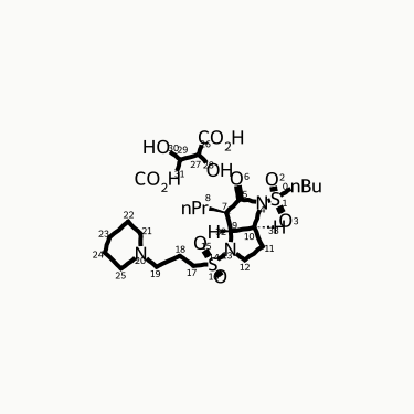 CCCCS(=O)(=O)N1C(=O)[C@H](CCC)[C@@H]2[C@@H]1CCN2S(=O)(=O)CCCN1CCCCC1.O=C(O)C(O)C(O)C(=O)O